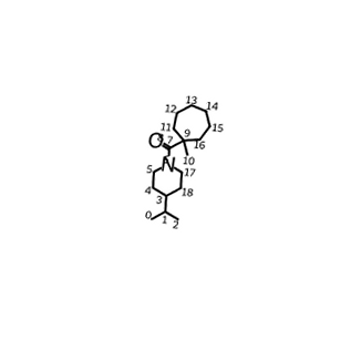 CC(C)C1CCN(C(=O)C2(C)CCCCCC2)CC1